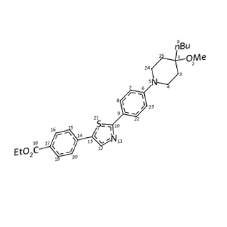 CCCCC1(OC)CCN(c2ccc(-c3ncc(-c4ccc(C(=O)OCC)cc4)s3)cc2)CC1